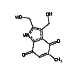 CC1=CC(=O)c2[nH]c(CO)c(CO)c2C1=O